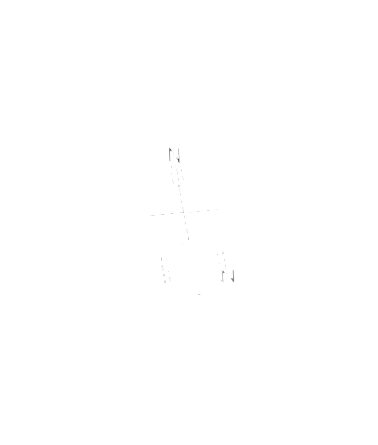 CC(C)(C#N)c1[c]nccc1